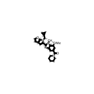 COc1cc(C(=O)N2CCCCC2)cc2nc(-c3cc4ccoc4n3CC3CC3)n(C)c12